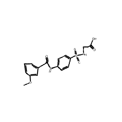 COc1cccc(C(=O)Nc2ccc(S(=O)(=O)NCC(=O)O)cc2)c1